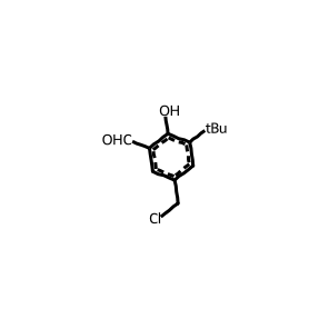 CC(C)(C)c1cc(CCl)cc(C=O)c1O